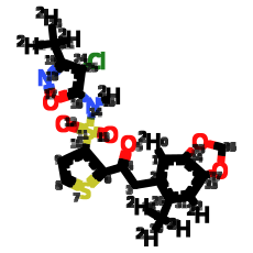 [2H]c1c(CC(=O)c2sccc2S(=O)(=O)N([2H])c2onc(C([2H])([2H])[2H])c2Cl)c(C([2H])([2H])[2H])c([2H])c2c1OCO2